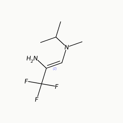 CC(C)N(C)/C=C(\N)C(F)(F)F